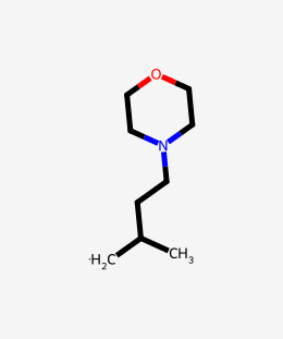 [CH2]C(C)CCN1CCOCC1